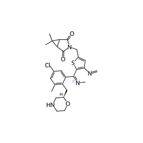 C=Nc1cc(CN2C(=O)C3C(C2=O)C3(C)C)sc1/C(=N\C)c1cc(Cl)cc(C)c1C[C@@H]1CNCCO1